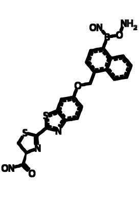 NOB(N=O)c1ccc(COc2ccc3nc(C4=N[C@@H](C(=O)N=O)CS4)sc3c2)c2ccccc12